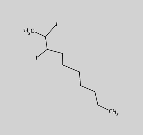 [CH2]C(I)C(I)CCCCCCC